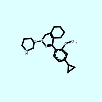 COc1cc(C2CC2)ccc1C1=NN([C@@H]2CCCNC2)CC2=C1CCCC2